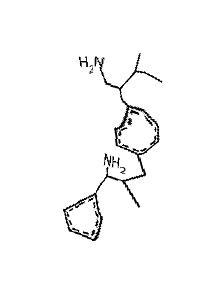 CC(C)C(CN)c1ccc(CC(C)C(N)c2ccccc2)cc1